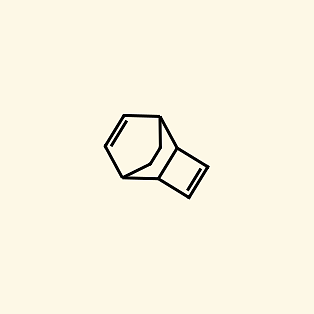 C1=CC2CCC1C1C=CC21